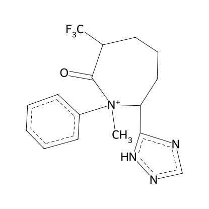 C[N+]1(c2ccccc2)C(=O)C(C(F)(F)F)CCCC1c1ncn[nH]1